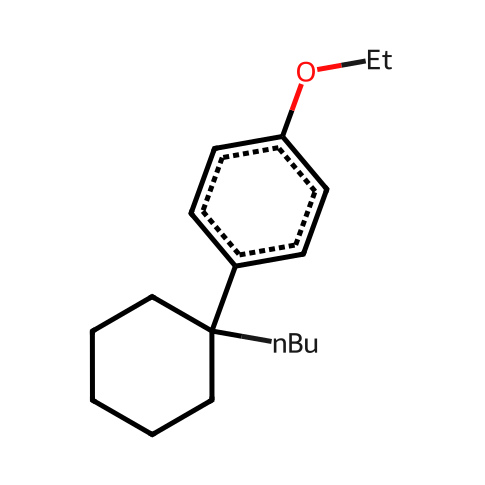 CCCCC1(c2ccc(OCC)cc2)CCCCC1